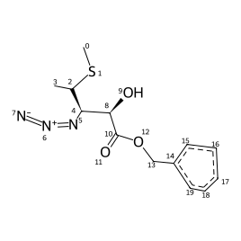 CSC(C)[C@H](N=[N+]=[N-])[C@@H](O)C(=O)OCc1ccccc1